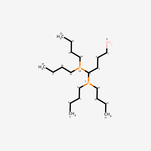 BCCCC(P(CCCC)CCCC)P(CCCC)CCCC